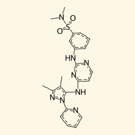 Cc1nn(-c2ccccn2)c(Nc2ccnc(Nc3cccc(S(=O)(=O)N(C)C)c3)n2)c1C